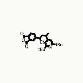 CCC(CC(C)c1cc(C(C)(C)C)nc(C(C)(C)C)c1)c1ccc2c(c1)C(=O)OC2=O